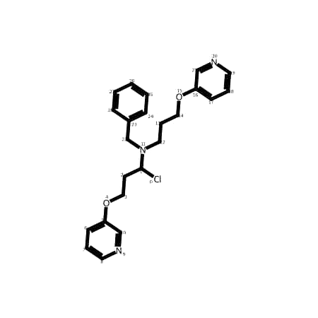 ClC(CCOc1cccnc1)N(CCCOc1cccnc1)Cc1ccccc1